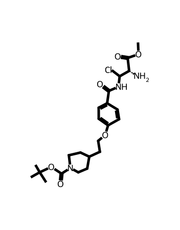 COC(=O)[C@H](N)C(Cl)NC(=O)c1ccc(OCCC2CCN(C(=O)OC(C)(C)C)CC2)cc1